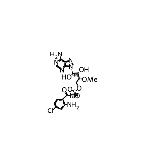 CO[C@H](COS(=O)(=O)NC(=O)c1ccc(Cl)cc1N)[C@@H](O)[C@@H](O)n1cnc2c(N)ncnc21